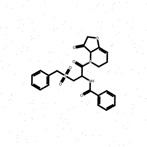 O=C(NC(CS(=O)(=O)Cc1ccccc1)C(=O)N1CCC=C2OCC(=O)C21)c1ccccc1